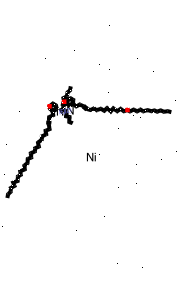 CCCCCC#CC(=N\c1ccccc1CCC#CCCCCCCCCCCCCCCCCCCCCCCCCC)/C(CCCC)=N\c1ccccc1CCC#CCCCCCCCCCCCCCCCCCCCCCCCCC.[Ni]